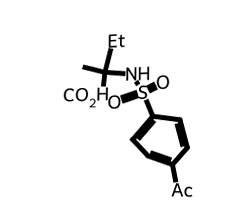 CCC(C)(NS(=O)(=O)c1ccc(C(C)=O)cc1)C(=O)O